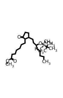 CCCCCC(CCC1CCC(=O)C1CCCCCCC(=O)OC)O[Si](C)(C)C(C)(C)C